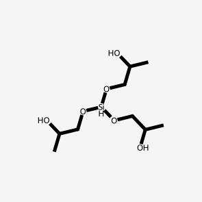 CC(O)CO[SiH](OCC(C)O)OCC(C)O